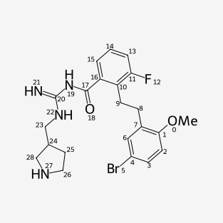 COc1ccc(Br)cc1CCc1c(F)cccc1C(=O)NC(=N)NCC1CCNC1